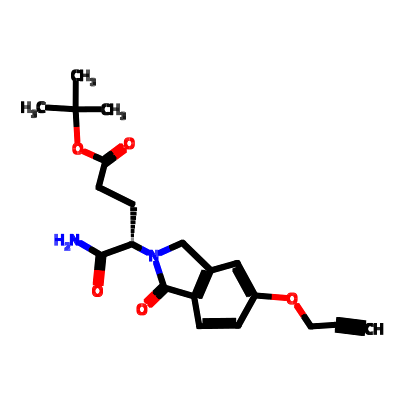 C#CCOc1ccc2c(c1)CN([C@@H](CCC(=O)OC(C)(C)C)C(N)=O)C2=O